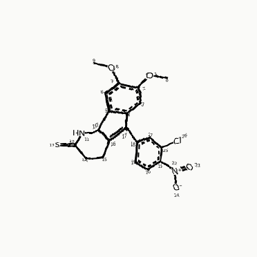 COc1cc2c(cc1OC)C1NC(=S)CCC1=C2c1ccc([N+](=O)[O-])c(Cl)c1